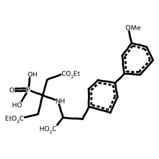 CCOC(=O)CC(CC(=O)OCC)(NC(Cc1ccc(-c2cccc(OC)c2)cc1)C(=O)O)P(=O)(O)O